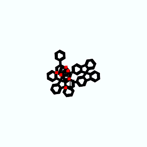 c1ccc(-c2cccc(N(c3ccc4c(c3)C3(c5ccccc5-c5ccc(N(c6ccccc6)c6ccccc6)cc53)c3ccccc3-4)c3cccc4c3C(c3ccccc3)(c3ccccc3)c3ccccc3-4)c2)cc1